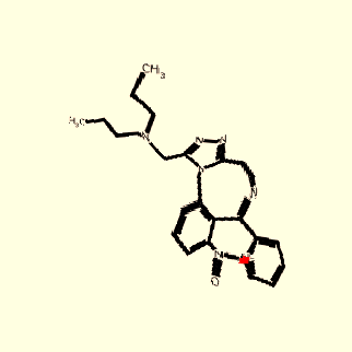 CCCN(CCC)Cc1nnc2n1-c1cccc([N+](=O)[O-])c1C(c1ccccn1)=NC2